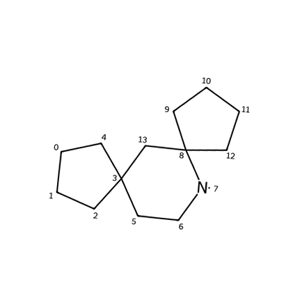 C1CCC2(C1)CC[N]C1(CCCC1)C2